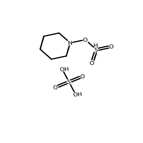 O=S(=O)(O)O.O=[SH](=O)ON1CCCCC1